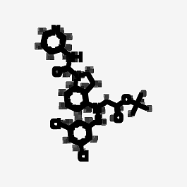 CC(C)(C)OC(=O)CN(Sc1cc(Cl)cc(Cl)c1)c1cccc2c1CCN2C(=O)Nc1cccnc1